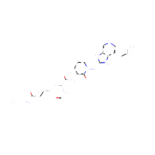 COC(=O)NC(CC/C=C/C(=O)N(C)C)C(=O)Nc1cccn(Cc2nc3c(C=C(C)C)cncc3[nH]2)c1=O